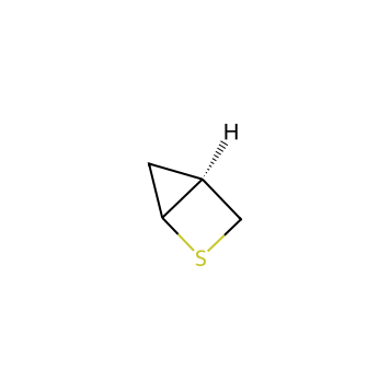 C1SC2C[C@@H]12